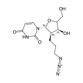 [N-]=[N+]=NCCC[C@@H]1[C@H](O)C(CO)O[C@H]1n1ccc(=O)[nH]c1=O